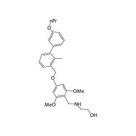 CCCOc1cccc(-c2cccc(COc3cc(OC)c(CNCCO)c(OC)c3)c2C)c1